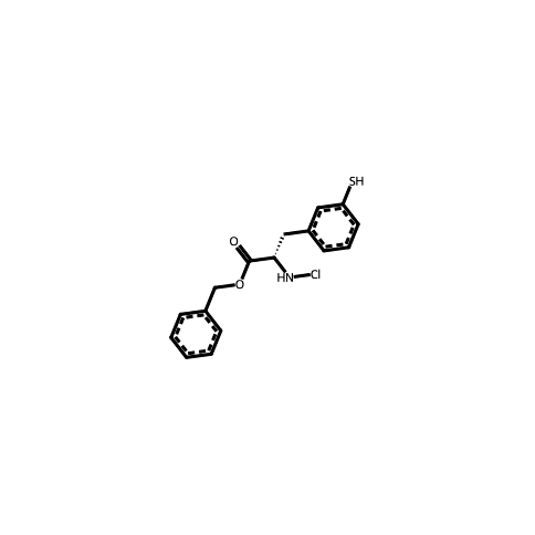 O=C(OCc1ccccc1)[C@H](Cc1cccc(S)c1)NCl